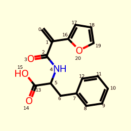 C=C(C(=O)NC(Cc1ccccc1)C(=O)O)c1ccco1